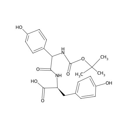 CC(C)(C)OC(=O)NC(C(=O)N[C@@H](Cc1ccc(O)cc1)C(=O)O)c1ccc(O)cc1